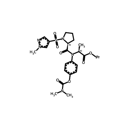 CC(C)OC(=O)[C@H](C)N(C(=O)[C@@H]1CCCN1S(=O)(=O)c1cnn(C)c1)c1ccc(OC(=O)N(C)C)cc1